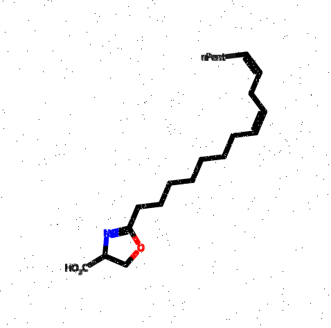 CCCCC/C=C\C/C=C\CCCCCCCC1=NC(C(=O)O)CO1